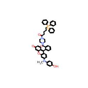 CN(c1ccc(O)cc1)c1ccc2c(-c3ccccc3C(=O)N3CCN(C(=O)CCCC[PH](c4ccccc4)(c4ccccc4)c4ccccc4)CC3)c3ccc(=O)cc-3oc2c1